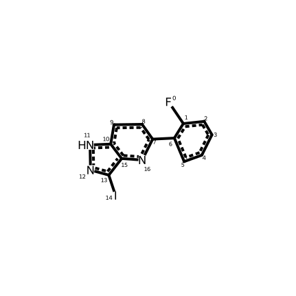 Fc1ccccc1-c1ccc2[nH]nc(I)c2n1